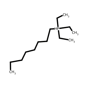 CCCCCCCC[PH](CC)(CC)CC